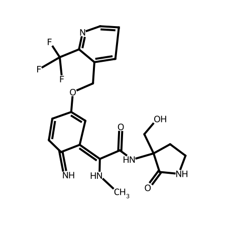 CN/C(C(=O)NC1(CO)CCNC1=O)=C1/C=C(OCc2cccnc2C(F)(F)F)C=CC1=N